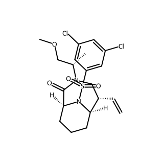 C=C[C@H]1CN([C@@H](C)COC)C(=O)[C@@H]2CCC[C@H]1N2S(=O)(=O)c1cc(Cl)cc(Cl)c1